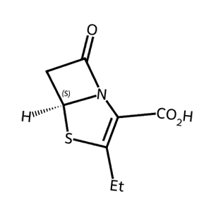 CCC1=C(C(=O)O)N2C(=O)C[C@@H]2S1